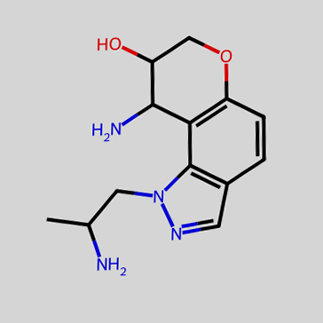 CC(N)Cn1ncc2ccc3c(c21)C(N)C(O)CO3